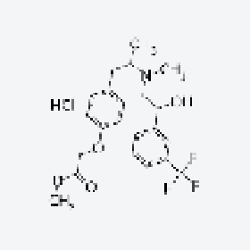 COC(=O)COc1ccc(CC(C)N(C)CC(O)c2cccc(C(F)(F)F)c2)cc1.Cl